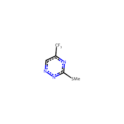 CSc1nncc(C(F)(F)F)n1